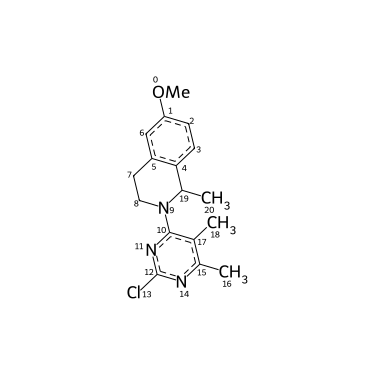 COc1ccc2c(c1)CCN(c1nc(Cl)nc(C)c1C)C2C